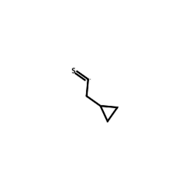 S=[C]CC1CC1